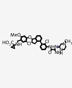 COc1cc(OC2CCc3c(-c4cccc(NC(=O)C(=N)/N=C5/CN(C)CCN5)c4Cl)cccc32)c(Cl)cc1CNC1(C(=O)O)CC1